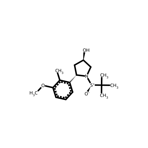 COc1cccc([C@@H]2C[C@@H](O)CN2[S@+]([O-])C(C)(C)C)c1C